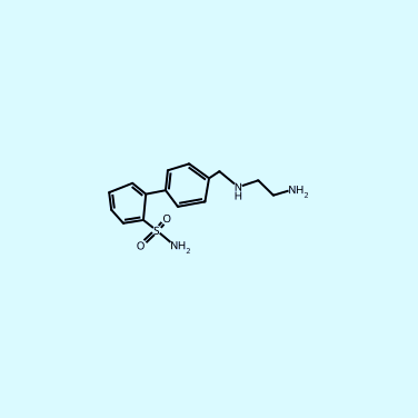 NCCNCc1ccc(-c2ccccc2S(N)(=O)=O)cc1